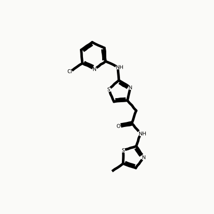 Cc1cnc(NC(=O)Cc2csc(Nc3cccc(Cl)n3)n2)s1